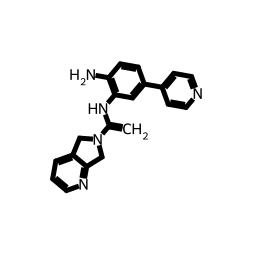 C=C(Nc1cc(-c2ccncc2)ccc1N)N1Cc2cccnc2C1